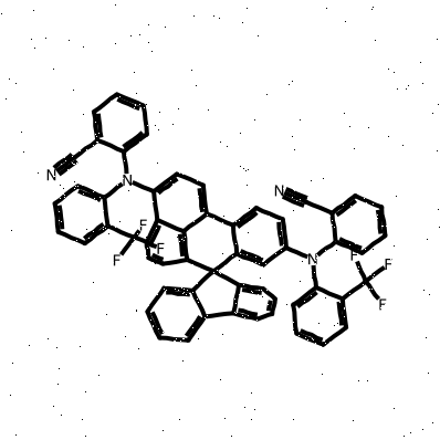 N#Cc1ccccc1N(c1ccc2c(c1)C1(c3ccccc3-c3ccccc31)c1cccc3c(N(c4ccccc4C#N)c4ccccc4C(F)(F)F)ccc-2c13)c1ccccc1C(F)(F)F